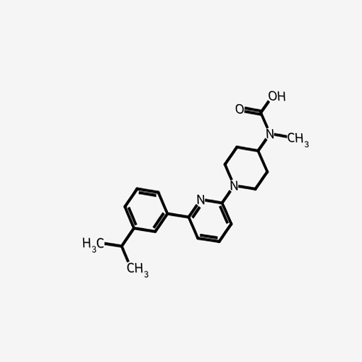 CC(C)c1cccc(-c2cccc(N3CCC(N(C)C(=O)O)CC3)n2)c1